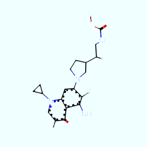 CC(CNC(=O)OC(C)(C)C)C1CCN(c2cc3c(c(N)c2F)c(=O)c(C(=O)O)cn3C2CC2)C1